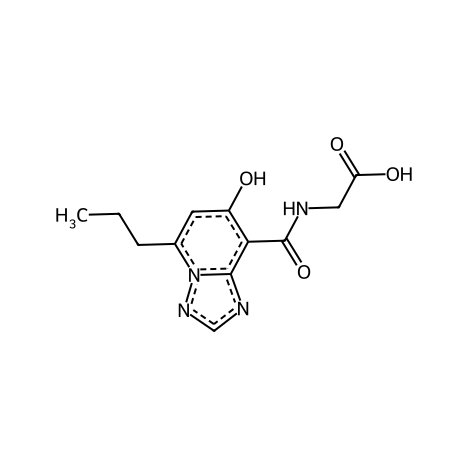 CCCc1cc(O)c(C(=O)NCC(=O)O)c2ncnn12